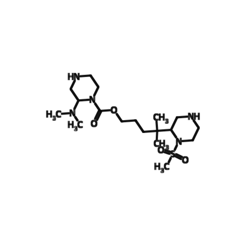 CN(C)C1CNCCN1C(=O)OCCCC(C)(C)C1CNCCN1S(C)(=O)=O